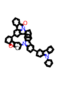 O=c1c2ccccc2c2cc(-c3cccc4oc5ccc(-n6c7ccccc7c7cc(-c8ccc9c(c8)c8ccccc8n9-c8ccccc8)ccc76)cc5c34)cc3c4ccccc4n1c23